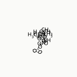 CC[C@H]1O[C@@H](c2cn(CC(=O)OCC3c4ccccc4-c4ccccc43)c(=O)[nH]c2=O)C(O[Si](C)(C)C(C)(C)C)[C@H]1C